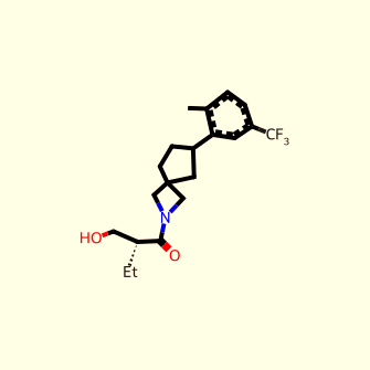 CC[C@H](CO)C(=O)N1CC2(CCC(c3cc(C(F)(F)F)ccc3C)C2)C1